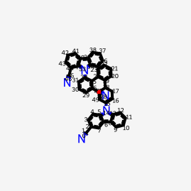 N#Cc1ccc2c(c1)c1ccccc1n2C1=CCC(c2ccccc2-c2c(C#N)cccc2-n2c3ccccc3c3cccc(C#N)c32)C=C1